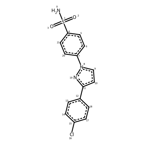 NS(=O)(=O)c1ccc(-n2ccc(-c3ccc(Cl)cc3)n2)cc1